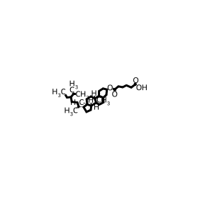 CCC(CCC(C)[C@H]1CC[C@H]2[C@@H]3CC=C4C[C@@H](OC(=O)CCCCC(=O)O)CC[C@]4(C)[C@H]3CC[C@]12C)C(C)C